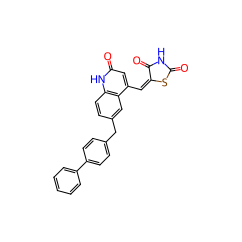 O=C1NC(=O)C(=Cc2cc(=O)[nH]c3ccc(Cc4ccc(-c5ccccc5)cc4)cc23)S1